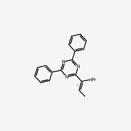 C/C=C(\CCC)c1nc(-c2ccccc2)nc(-c2ccccc2)n1